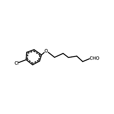 O=CCCCCCOc1ccc(Cl)cc1